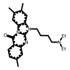 CCN(CC)CCCCn1c2cc(C)c(C)cc2n2c(=O)c3ccc(C)cc3nc12